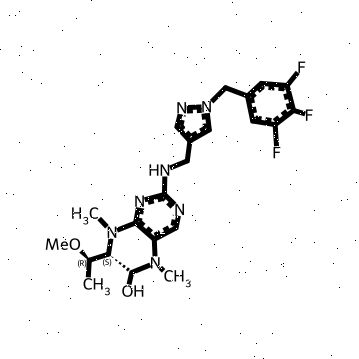 CO[C@H](C)[C@H]1C(O)N(C)c2cnc(NCc3cnn(Cc4cc(F)c(F)c(F)c4)c3)nc2N1C